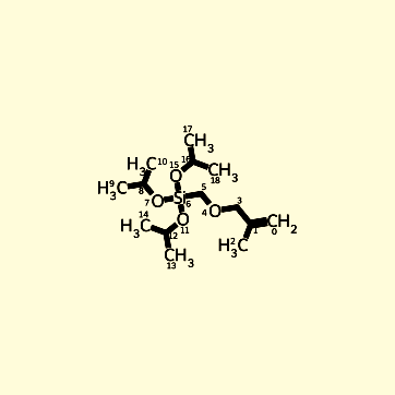 C=C(C)COC[Si](OC(C)C)(OC(C)C)OC(C)C